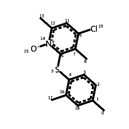 Cc1ccc(Sc2c(C)c(Cl)cc(C)[n+]2[O-])c(C)c1